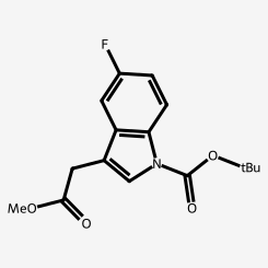 COC(=O)Cc1cn(C(=O)OC(C)(C)C)c2ccc(F)cc12